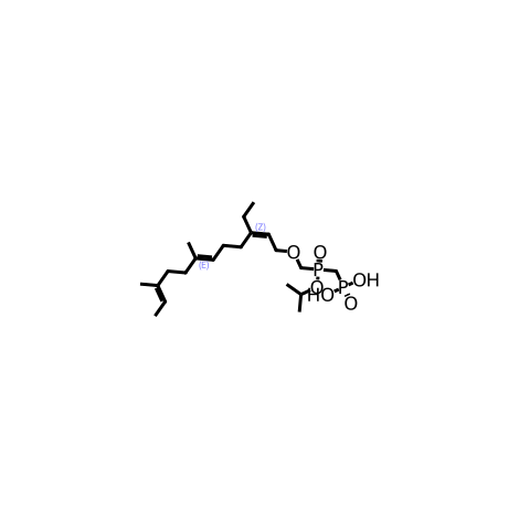 CC=C(C)CC/C(C)=C/CC/C(=C\COCP(=O)(CP(=O)(O)O)OC(C)C)CC